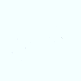 CC(C)OC(=O)[C@H](C)N[PH](=O)COC1(Cc2cnn3c(N)ncnc23)CC1